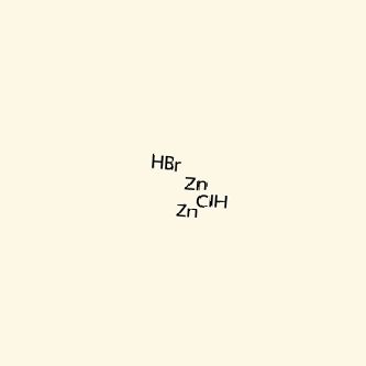 Br.Cl.[Zn].[Zn]